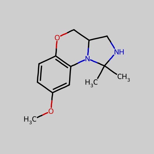 COc1ccc2c(c1)N1C(CNC1(C)C)CO2